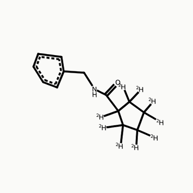 [2H]C1([2H])C([2H])([2H])C([2H])([2H])C([2H])(C(=O)NCc2ccccc2)C1([2H])[2H]